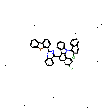 Clc1ccc2ccccc2c1-n1c2ccccc2c2c(-c3nc(-c4cccc5c4sc4ccccc45)nc4ccccc34)cc3cc(Br)ccc3c21